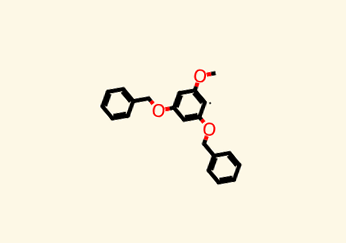 COc1[c]c(OCc2ccccc2)cc(OCc2ccccc2)c1